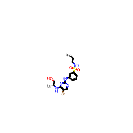 CC[C@H](CO)Nc1nc(Nc2cccc(S(=O)(=O)NCCC(C)C)c2)ncc1Br